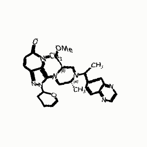 COC[C@H]1CN(C(C)c2ccc3nccnc3c2)[C@H](C)CN1c1c2c(ccc(=O)n2C)nn1C1CCCCO1